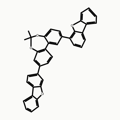 CC1(C)Oc2cc(-c3ccc4c(c3)oc3ccccc34)ccc2-c2cc(-c3cccc4c3oc3ccccc34)ccc2O1